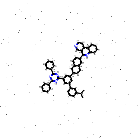 CC(C)c1cccc(-c2cc(-c3ccc4cc(-c5nc6ccccc6c6ccncc56)ccc4c3)cc(-c3nc(-c4ccccc4)nc(-c4ccccc4)n3)c2)c1